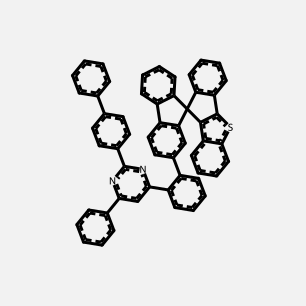 c1ccc(-c2ccc(-c3nc(-c4ccccc4)cc(-c4ccccc4-c4ccc5c(c4)C4(c6ccccc6-5)c5ccccc5-c5sc6ccccc6c54)n3)cc2)cc1